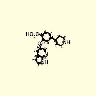 O=C(O)c1ccc(C2=CCNCC2)cc1Oc1cnc2[nH]ccc2c1